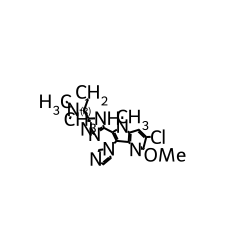 C=C[C@H](c1nnc(-c2c(-n3ccnc3)c3nc(OC)c(Cl)cc3n2C)[nH]1)N(C)C